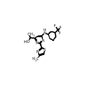 Cc1csc(-c2nc(NC3CCCC(C(F)(F)F)C3)cc(C(C)O)n2)n1